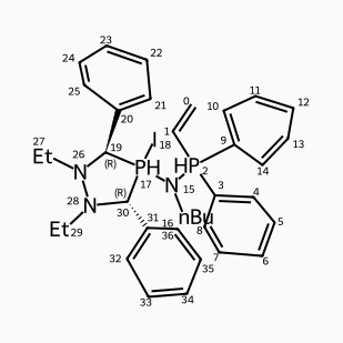 C=C[PH](c1ccccc1)(c1ccccc1)N(CCCC)[PH]1(I)[C@H](c2ccccc2)N(CC)N(CC)[C@H]1c1ccccc1